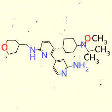 CON(C(C)C)[C@H]1CC[C@H](c2ccc(NCC3CCOCC3)nc2-c2ccnc(N)c2)CC1